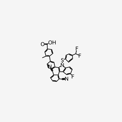 Cc1cc(C(=O)O)ccc1-c1cccc(-c2c(-c3c(C#N)cccc3C#N)c3cc(F)ccc3n2Sc2ccc(C(F)F)cc2)c1